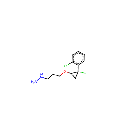 NNCCCOC1CC1(Cl)c1ccccc1Cl